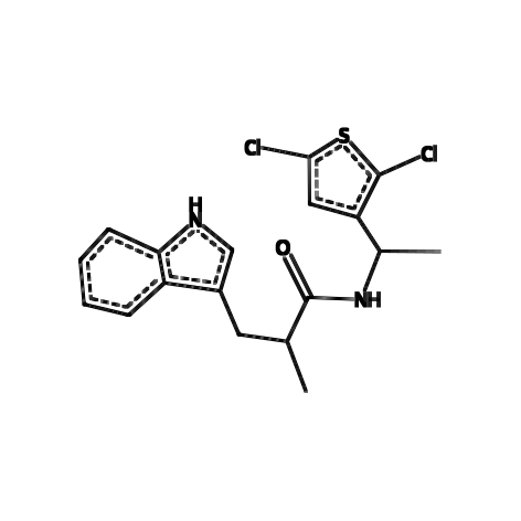 CC(Cc1c[nH]c2ccccc12)C(=O)NC(C)c1cc(Cl)sc1Cl